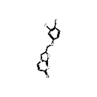 O=c1ccn2c(n1)OC(COc1ccc(F)c(F)c1)C2